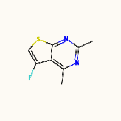 Cc1nc(C)c2c(F)csc2n1